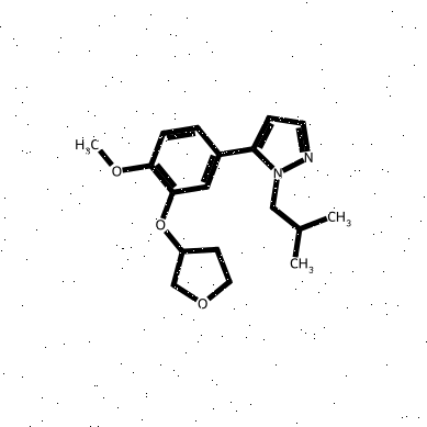 COc1ccc(-c2ccnn2CC(C)C)cc1OC1CCOC1